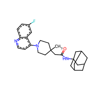 CC1(CC(=O)NC23CC4CC(CC(C4)C2)C3)CCN(c2ccnc3ccc(F)cc23)CC1